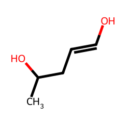 CC(O)CC=CO